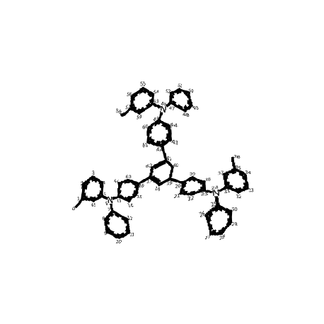 Cc1cccc(N(c2ccccc2)c2ccc(C3=CC(c4ccc(N(c5ccccc5)c5cccc(C)c5)cc4)CC(c4ccc(N(c5ccccc5)c5cccc(C)c5)cc4)=C3)cc2)c1